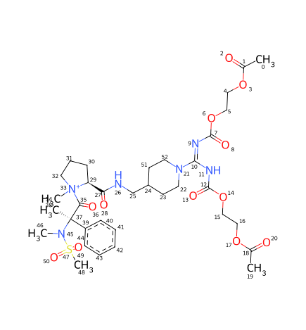 CC(=O)OCCOC(=O)N=C(NC(=O)OCCOC(C)=O)N1CCC(CNC(=O)[C@@H]2CCC[N+]2(C)C(=O)[C@@](C)(c2ccccc2)N(C)S(C)(=O)=O)CC1